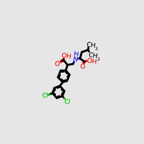 CC(C)CC(NCC(C(=O)O)c1ccc(-c2cc(Cl)cc(Cl)c2)cc1)C(=O)O